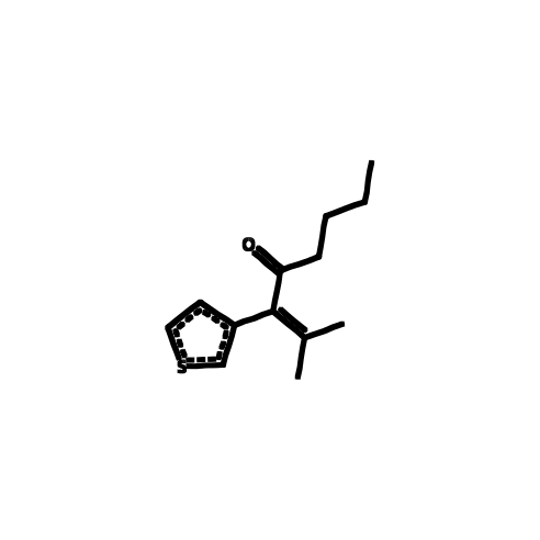 CCCCC(=O)C(=C(C)C)c1ccsc1